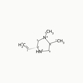 C=C[C@@H]1CN(C)C(C)CN1